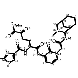 CNC(=O)C(=O)CCC(NC(=O)c1csc(Cl)n1)C(=O)Nc1cccn(CC(=O)NC2C3CCCC(C3)CN2C)c1=O